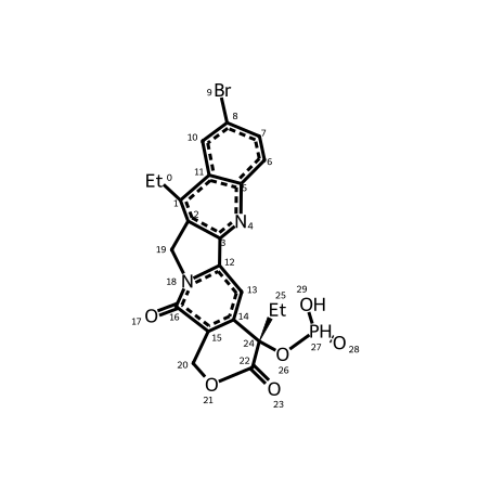 CCc1c2c(nc3ccc(Br)cc13)-c1cc3c(c(=O)n1C2)COC(=O)[C@@]3(CC)O[PH](=O)O